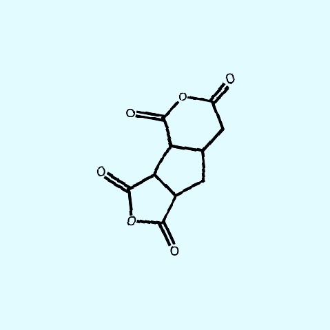 O=C1CC2CC3C(=O)OC(=O)C3C2C(=O)O1